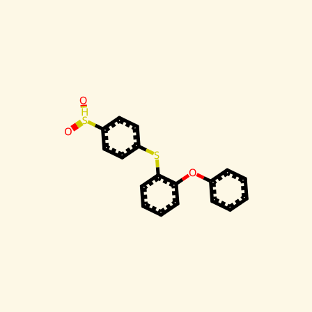 O=[SH](=O)c1ccc(Sc2ccccc2Oc2ccccc2)cc1